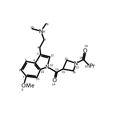 COc1ccc2c(CCN(C)C)cn(C(=O)C3CN(C(=O)C(C)C)C3)c2c1